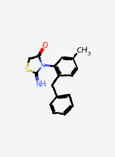 Cc1ccc(Cc2ccccc2)c(N2C(=N)SCC2=O)c1